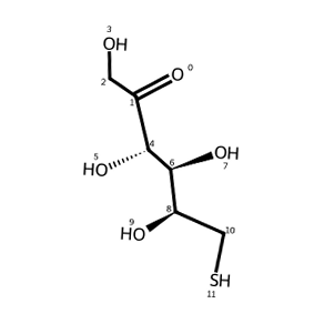 O=C(CO)[C@@H](O)[C@@H](O)[C@H](O)CS